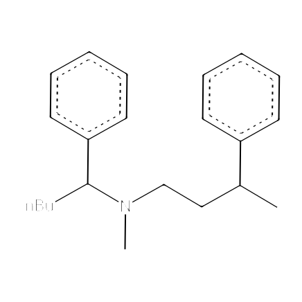 CCC[CH]C(c1ccccc1)N(C)CCC(C)c1ccccc1